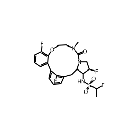 CC(F)S(=O)(=O)NC1C(F)CN2C(=O)N(C)CCOc3c(F)cccc3-c3cccc(c3F)CC12